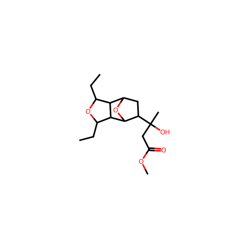 CCC1OC(CC)C2C3OC(CC3C(C)(O)CC(=O)OC)C12